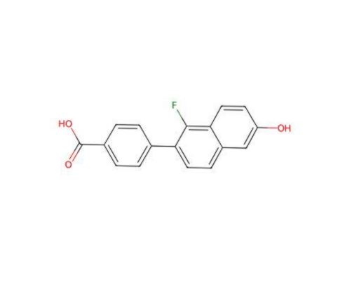 O=C(O)c1ccc(-c2ccc3cc(O)ccc3c2F)cc1